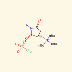 CCCC[N+](CCCC)(CCCC)CCCC.O=C1CCC(=O)N1I.O=S(=O)([O-])C(F)(F)F